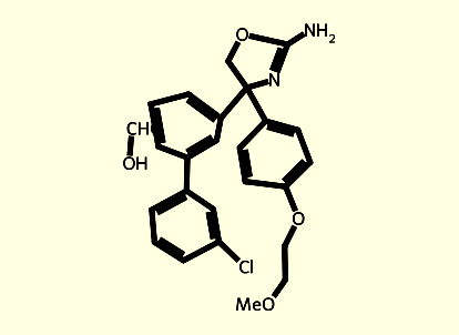 COCCOc1ccc(C2(c3cccc(-c4cccc(Cl)c4)c3)COC(N)=N2)cc1.O=CO